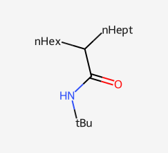 CCCCCCCC(CCCCCC)C(=O)NC(C)(C)C